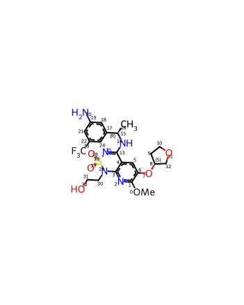 COc1nc2c(cc1O[C@H]1CCOC1)C(N[C@H](C)c1cc(N)cc(C(F)(F)F)c1)=NS(=O)(=O)N2CCO